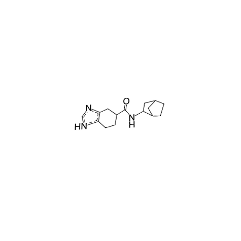 O=C(NC1CC2CCC1C2)C1CCc2[nH]cnc2C1